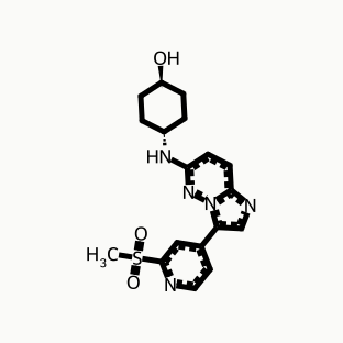 CS(=O)(=O)c1cc(-c2cnc3ccc(N[C@H]4CC[C@H](O)CC4)nn23)ccn1